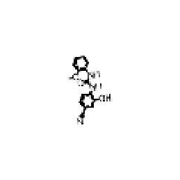 COc1ccccc1NC(=O)Nc1ccc(C#N)cc1O